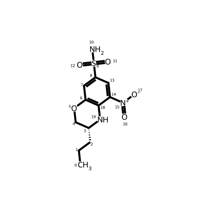 CCC[C@@H]1COc2cc(S(N)(=O)=O)cc([N+](=O)[O-])c2N1